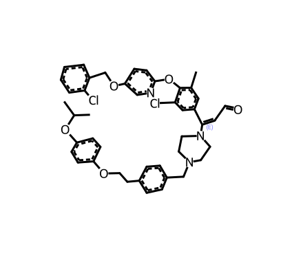 Cc1cc(/C(=C\C=O)N2CCN(Cc3ccc(CCOc4ccc(OC(C)C)cc4)cc3)CC2)cc(Cl)c1Oc1ccc(OCc2ccccc2Cl)cn1